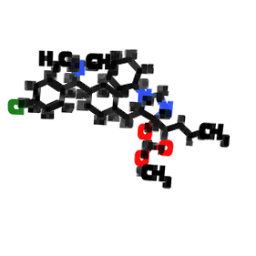 CCCCC1(OC(=O)OC)N=CN(C2CCCCC2)C1CC1CCC(C(c2ccc(Cl)cc2)N(C)C)CC1